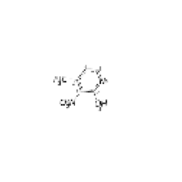 O=[N+]([O-])c1c(C(F)(F)F)ccnc1O